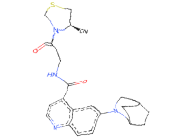 N#C[C@@H]1CSCN1C(=O)CNC(=O)c1ccnc2ccc(N3CC4CCC3C4)cc12